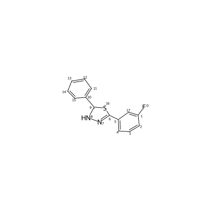 Fc1cccc(C2=NN[C](c3ccccc3)S2)c1